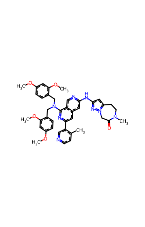 COc1ccc(CN(Cc2ccc(OC)cc2OC)c2nc(-c3cnccc3C)cc3cc(Nc4cc5n(n4)CC(=O)N(C)CC5)ncc23)c(OC)c1